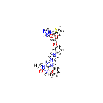 Cn1c(=O)c2c(nc(N3CCN(c4cccc(OC[C@@H]5CO[C@@](Cn6cncn6)(c6cccs6)O5)c4)CC3)n2Cc2ccccc2)n(C)c1=O